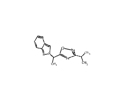 CC(C)c1noc(C(C)n2cc3ccccc3n2)n1